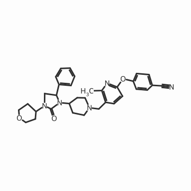 Cc1nc(Oc2ccc(C#N)cc2)ccc1CN1CCC(N2C(=O)N(C3CCOCC3)CC2c2ccccc2)CC1